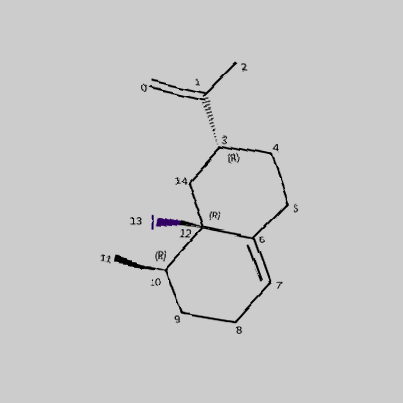 C=C(C)[C@@H]1CCC2=CCC[C@@H](C)[C@]2(I)C1